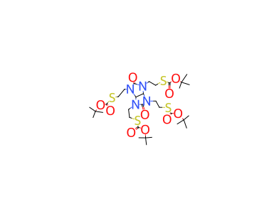 CC(C)(C)OC(=O)SCCN1C(=O)N(CCSC(=O)OC(C)(C)C)C2C1N(CCSC(=O)OC(C)(C)C)C(=O)N2CCSC(=O)OC(C)(C)C